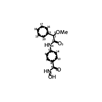 COC(C(=O)Nc1ccc(C(=O)NO)cc1)c1ccccc1